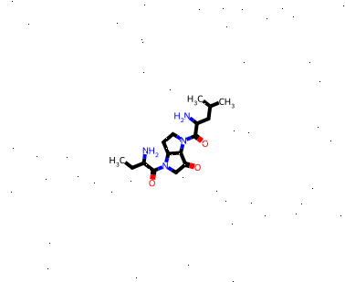 CCC(N)C(=O)N1CC(=O)C2C1CCN2C(=O)C(N)CC(C)C